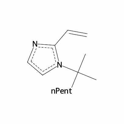 C=Cc1nccn1C(C)(C)CCCCC